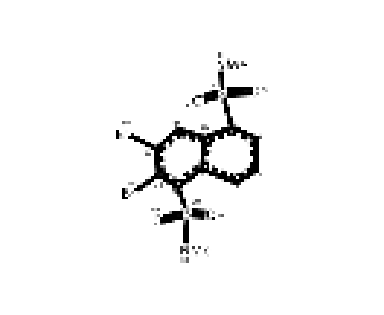 CNS(=O)(=O)c1cccc2c(S(=O)(=O)NC)c(Br)c(Br)cc12